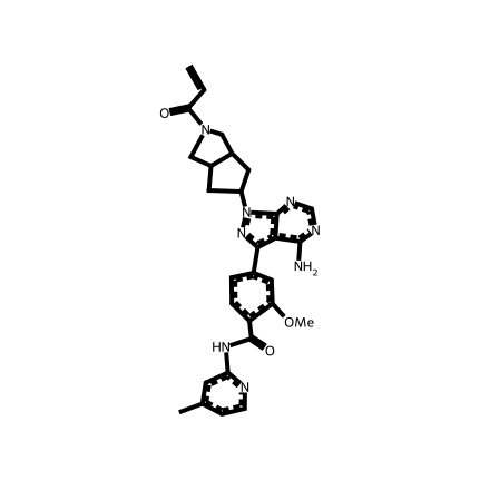 C=CC(=O)N1CC2CC(n3nc(-c4ccc(C(=O)Nc5cc(C)ccn5)c(OC)c4)c4c(N)ncnc43)CC2C1